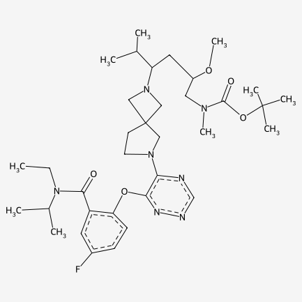 CCN(C(=O)c1cc(F)ccc1Oc1nncnc1N1CCC2(C1)CN(C(CC(CN(C)C(=O)OC(C)(C)C)OC)C(C)C)C2)C(C)C